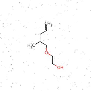 C=C[CH]C(C)COCCO